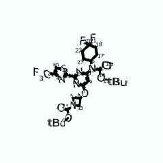 CC(C)(C)OC(=O)N1CC(Oc2cc(N(C(=O)OC(C)(C)C)C3CCC(F)(F)CC3)nc(-c3nc(C(F)(F)F)cs3)n2)C1